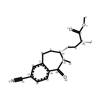 COC(=O)[C@H](C)CC[C@H]1CCc2cc(C#N)ccc2C(=O)N1C